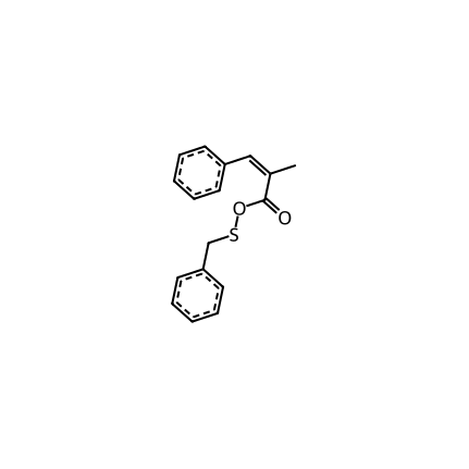 CC(=Cc1ccccc1)C(=O)OSCc1ccccc1